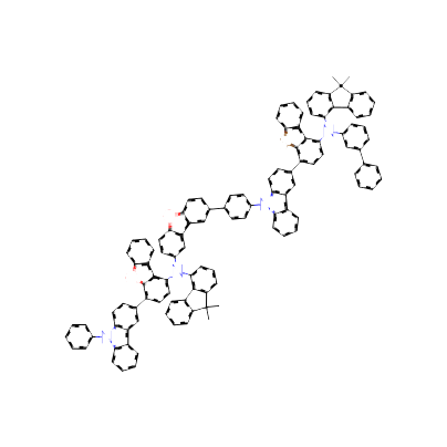 CC1(C)c2ccccc2-c2c(N(c3ccc4oc5ccc(-c6ccc(-n7c8ccccc8c8cc(-c9ccc(N(c%10cccc(-c%11ccccc%11)c%10)c%10cccc%11c%10-c%10ccccc%10C%11(C)C)c%10c9sc9ccccc9%10)ccc87)cc6)cc5c4c3)c3ccc(-c4ccc5c(c4)c4ccccc4n5-c4ccccc4)c4oc5ccccc5c34)cccc21